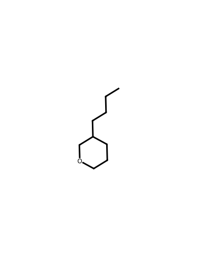 CCCCC1CCCOC1